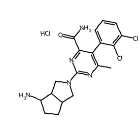 Cc1nc(N2CC3CCC(N)C3C2)nc(C(N)=O)c1-c1cccc(Cl)c1Cl.Cl